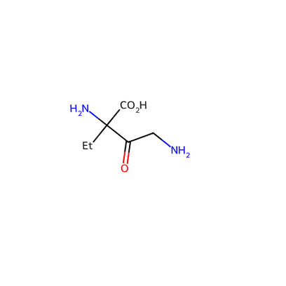 CCC(N)(C(=O)O)C(=O)CN